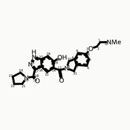 CNCCOc1ccc2c(c1)CN(C(=O)c1cc3c(C(=O)N4CCCC4)n[nH]c3cc1O)C2